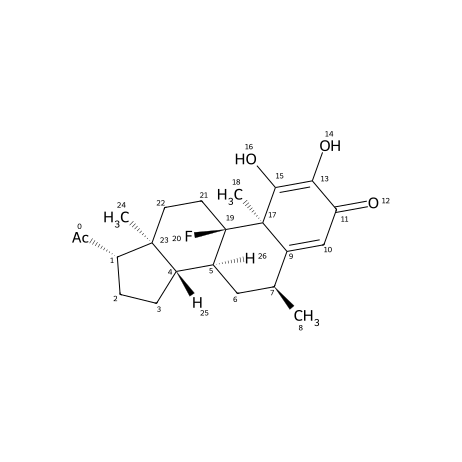 CC(=O)[C@H]1CC[C@H]2[C@@H]3C[C@H](C)C4=CC(=O)C(O)=C(O)[C@]4(C)[C@@]3(F)CC[C@]12C